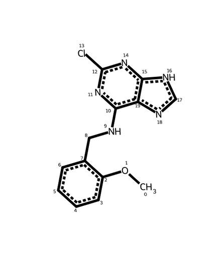 COc1ccccc1CNc1nc(Cl)nc2[nH]cnc12